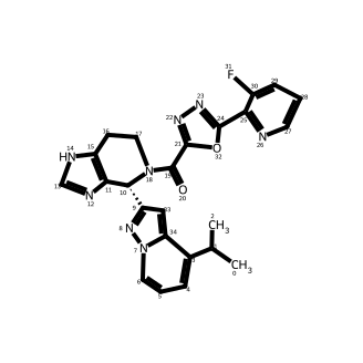 CC(C)c1cccn2nc([C@@H]3c4nc[nH]c4CCN3C(=O)c3nnc(-c4ncccc4F)o3)cc12